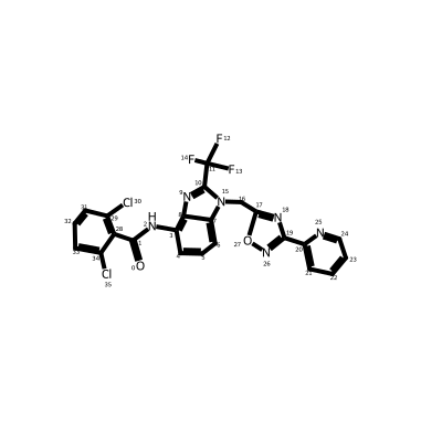 O=C(Nc1cccc2c1nc(C(F)(F)F)n2Cc1nc(-c2ccccn2)no1)c1c(Cl)cccc1Cl